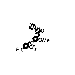 COc1cc(OCc2ccc(C(F)(F)F)cc2C(F)(F)F)ccc1C=C1SC(N2CCOCC2)=NC1=O